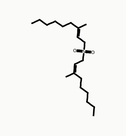 CCCCCCC(C)=CCS(=O)(=O)CC=C(C)CCCCCC